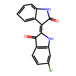 O=C1Nc2ccccc2/C1=C1/Nc2cc(Br)ccc2C1=O